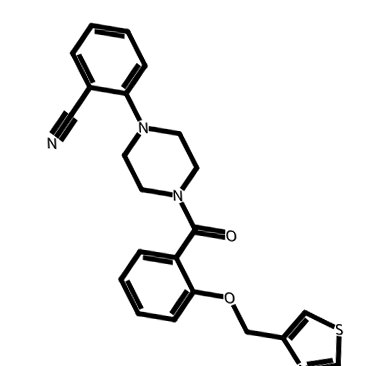 N#Cc1ccccc1N1CCN(C(=O)c2ccccc2OCc2cscn2)CC1